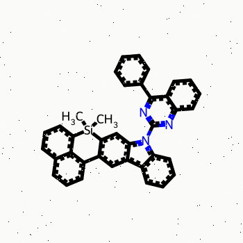 C[Si]1(C)c2cc3c(cc2-c2cccc4cccc1c24)c1ccccc1n3-c1nc(-c2ccccc2)c2ccccc2n1